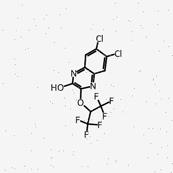 Oc1nc2cc(Cl)c(Cl)cc2nc1OC(C(F)(F)F)C(F)(F)F